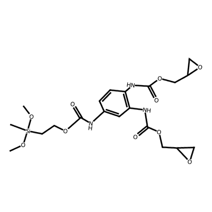 CO[Si](C)(CCOC(=O)Nc1ccc(NC(=O)OCC2CO2)c(NC(=O)OCC2CO2)c1)OC